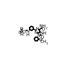 COc1ccccc1-n1c(=O)[nH]c2c(C(N)=O)nc(-c3cccc(NCO[SH](=O)=O)c3)nc21